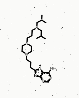 CC(C)CN(CCCN1CCN(CCCc2nc3ncnc(N)c3[nH]2)CC1)CC(C)C